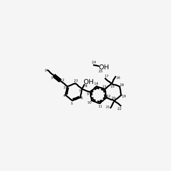 CC#CC1=CC=CC(O)(c2ccc3c(c2)C(C)(C)CCC3(C)C)C1.CO